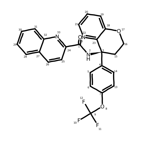 O=C(N[C@]1(c2ccc(OC(F)(F)F)cc2)CCOc2cccnc21)c1ccc2ccccc2n1